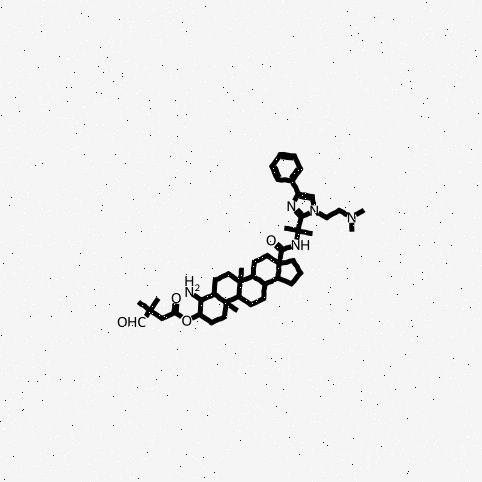 CN(C)CCn1cc(-c2ccccc2)nc1C(C)(C)NC(=O)C12CCCC1C1CCC3C4(C)CCC(OC(=O)CC(C)(C)C=O)C(N)C4CCC3(C)C1CC2